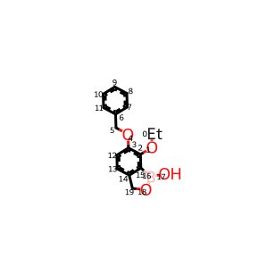 CCOc1c(OCc2ccccc2)ccc2c1B(O)OC2